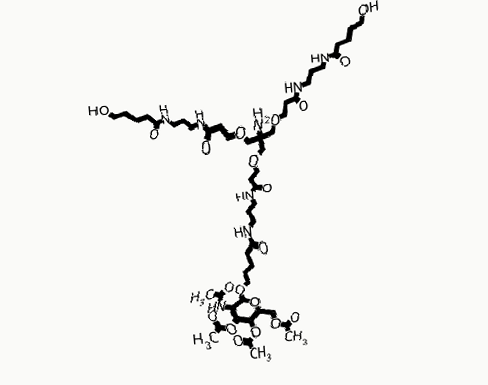 CC(=O)NC1C(OCCCCC(=O)NCCCNC(=O)CCOCC(N)(COCCC(=O)NCCCNC(=O)CCCCO)COCCC(=O)NCCCNC(=O)CCCCO)OC(COC(C)=O)C(OC(C)=O)C1OC(C)=O